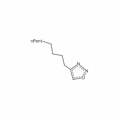 CCCCCCCCCc1conn1